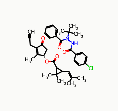 C#CCC1=C(C)[C@@H](OC(=O)C2C(C=C(C)C)C2(C)C)CC1=O.CC(C)(C)N(NC(=O)c1ccc(Cl)cc1)C(=O)c1ccccc1